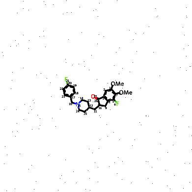 COc1cc2c(c(F)c1OC)CC(CC1CCN(Cc3ccc(F)cc3)CC1)C2=O